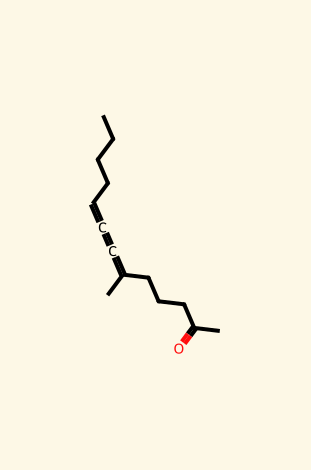 CCCCC=C=C=C(C)CCCC(C)=O